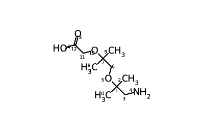 CC(C)(CN)OCC(C)(C)OCC(=O)O